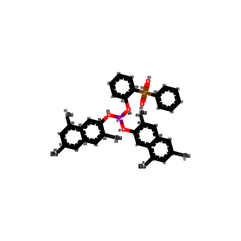 CCC(C)c1cc(C(C)CC)c2cc(OP(Oc3cc4c(C(C)CC)cc(C(C)CC)cc4cc3C(C)CC)Oc3ccccc3S(=O)(=O)c3ccccc3)c(C(C)CC)cc2c1